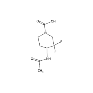 CC(=O)NC1CCN(C(=O)O)CC1(F)F